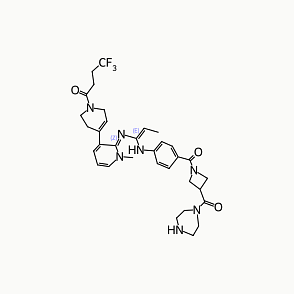 C/C=C(/N=c1/c(C2=CCN(C(=O)CCC(F)(F)F)CC2)cccn1C)Nc1ccc(C(=O)N2CC(C(=O)N3CCNCC3)C2)cc1